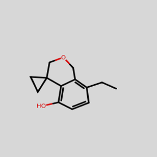 CCc1ccc(O)c2c1COCC21CC1